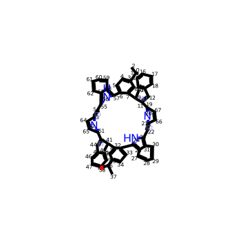 CC(C)c1ccc2c(c1)C(C)/C(=C\c1ccccc1)C1=N/C(=C\c3[nH]c(c4ccccc34)-c3ccc(C(C)C)cc3C(C)/C(=C\c3ccccc3)C3=N/C(=C\c4[nH]c-2c2ccccc42)C=C3)C=C1